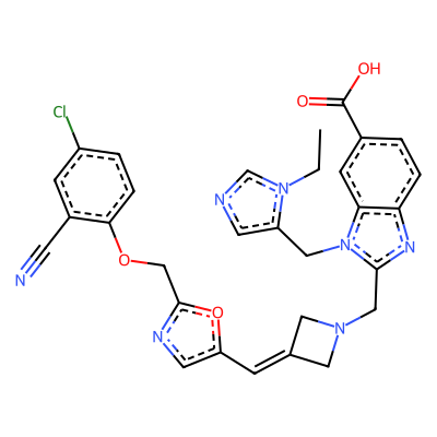 CCn1cncc1Cn1c(CN2CC(=Cc3cnc(COc4ccc(Cl)cc4C#N)o3)C2)nc2ccc(C(=O)O)cc21